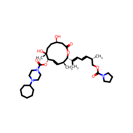 C/C(=C\C=C\[C@H](C)COC(=O)N1CCCC1)[C@H]1OC(=O)C[C@H](O)CC[C@@](C)(O)[C@@H](OC(=O)N2CCN(C3CCCCCC3)CC2)/C=C/[C@@H]1C